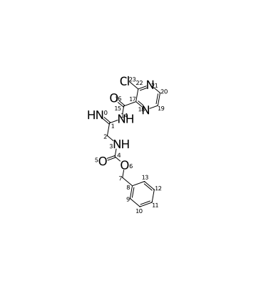 N=C(CNC(=O)OCc1ccccc1)NC(=O)c1nccnc1Cl